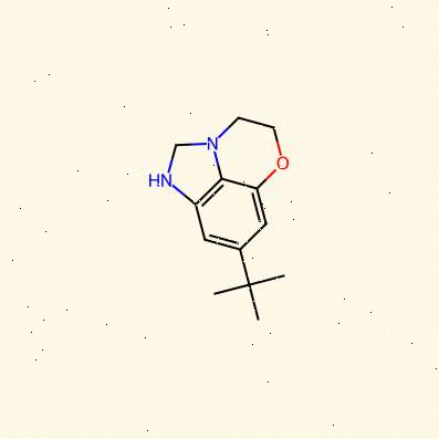 CC(C)(C)c1cc2c3c(c1)OCCN3CN2